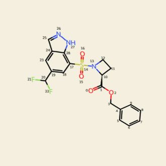 O=C(OCc1ccccc1)[C@@H]1CCN1S(=O)(=O)c1cc(C(F)F)cc2cn[nH]c12